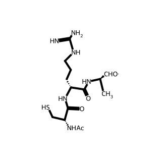 CC(=O)N[C@H](CS)C(=O)N[C@H](CCCNC(=N)N)C(=O)N[C@H](C)[C]=O